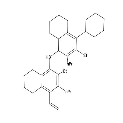 C=Cc1c(CCC)c(CC)c(Bc2c(CCC)c(CC)c(C3CCCCC3)c3c2CCCC3)c2c1CCCC2